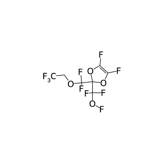 FOC(F)(F)C1(C(F)(F)OCC(F)(F)F)OC(F)=C(F)O1